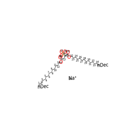 CCCCCCCCCCCCCCCCCCCCCCCOC(=O)CC(C(=O)OCCCCCCCCCCCCCCCCCCCCCCC)S(=O)(=O)[O-].[Na+]